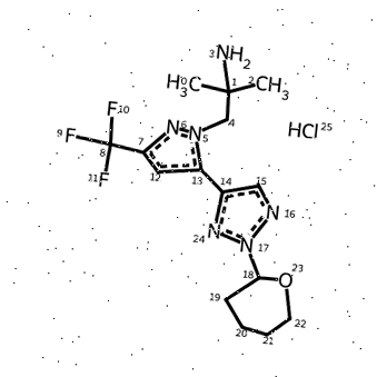 CC(C)(N)Cn1nc(C(F)(F)F)cc1-c1cnn(C2CCCCO2)n1.Cl